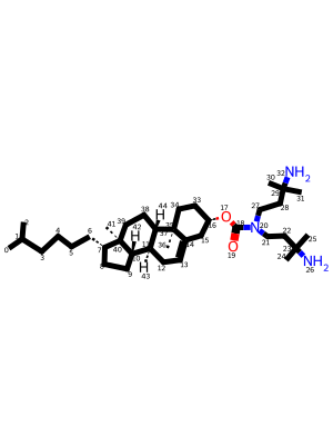 CC(C)CCCC[C@H]1CC[C@H]2[C@@H]3CC=C4C[C@@H](OC(=O)N(CCC(C)(C)N)CCC(C)(C)N)CC[C@]4(C)[C@H]3CC[C@]12C